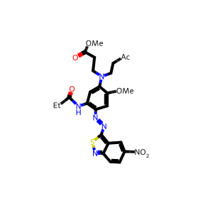 CCC(=O)Nc1cc(N(CCC(C)=O)CCC(=O)OC)c(OC)cc1/N=N/c1snc2ccc([N+](=O)[O-])cc12